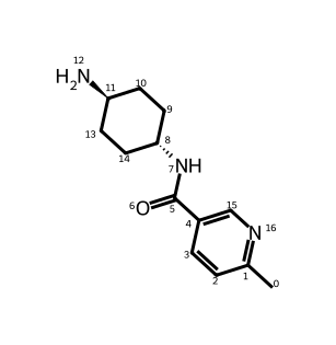 Cc1ccc(C(=O)N[C@H]2CC[C@H](N)CC2)cn1